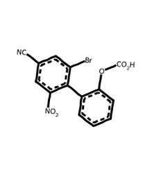 N#Cc1cc(Br)c(-c2ccccc2OC(=O)O)c([N+](=O)[O-])c1